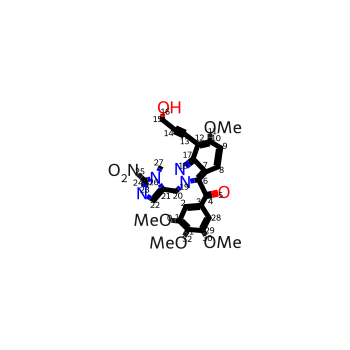 COc1cc(C(=O)c2c3ccc(OC)c(C#CCO)c3nn2Cc2cnc([N+](=O)[O-])n2C)cc(OC)c1OC